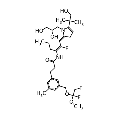 CCC/C(NC(=O)CCc1cc(C)cc(COC(F)(CF)OC)c1)=C(F)\C=C1/CC=C(C(C)(C)CO)N1C[C@@H](O)CO